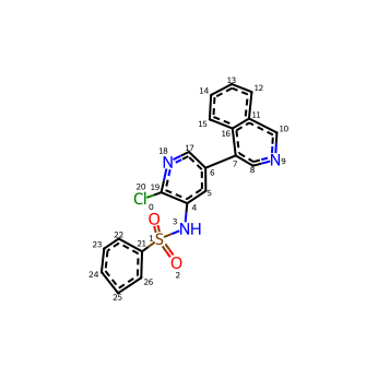 O=S(=O)(Nc1cc(-c2cncc3ccccc23)cnc1Cl)c1ccccc1